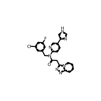 O=C(Cc1nnc2ccccn12)N(Cc1cc(F)cc(Cl)c1)c1ccc(-c2c[nH]cn2)cn1